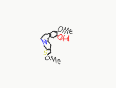 COc1cc2c(s1)CN1CCc3cc(OC)c(O)cc3C1C2